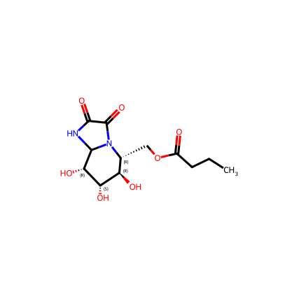 CCCC(=O)OC[C@@H]1[C@@H](O)[C@H](O)[C@H](O)C2NC(=O)C(=O)N21